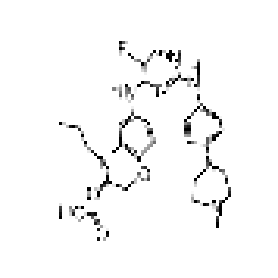 CCCN1C(=O)COc2ccc(Nc3nc(Nc4ccc(N5CCN(C)CC5)cc4)ncc3F)cc21.O=CO